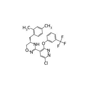 Cc1ccc(C[C@@H]2CON=C(c3cc(Cl)nnc3Oc3cccc(C(F)(F)F)c3)N2)c(C)c1